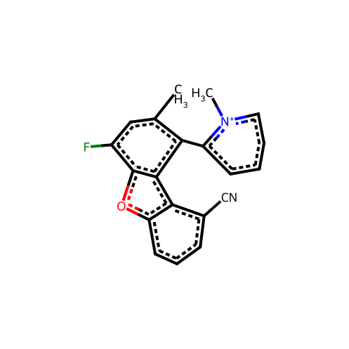 Cc1cc(F)c2oc3cccc(C#N)c3c2c1-c1cccc[n+]1C